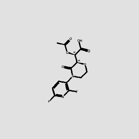 CC(=O)O[C@@H](C(=O)O)[C@H]1OCCN(c2ccc(F)nc2F)C1=O